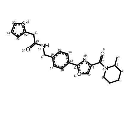 CC1CCCCN1C(=O)c1coc(-c2ccc(CNC(=O)Cc3cccs3)cc2)n1